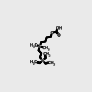 C=C[Si](C=C)(C=C)CCC[Si](C)(C)CCCCOC(=O)O